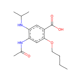 CCCCOc1cc(NC(C)=O)c(NC(C)C)cc1C(=O)O